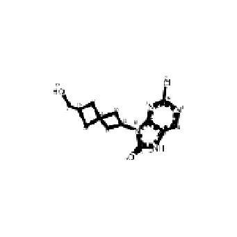 O=c1[nH]c2cnc(Cl)nc2n1C1CC2(CC(CO)C2)C1